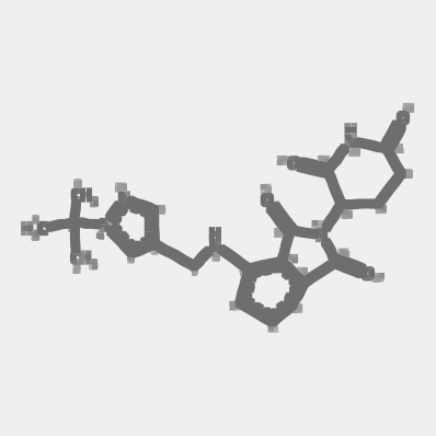 CC(C)(C)n1cc(CNc2cccc3c2C(=O)N(C2CCC(=O)NC2=O)C3=O)cn1